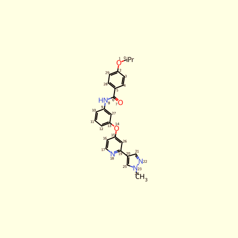 CC(C)Oc1ccc(C(=O)Nc2cccc(Oc3ccnc(-c4cnn(C)c4)c3)c2)cc1